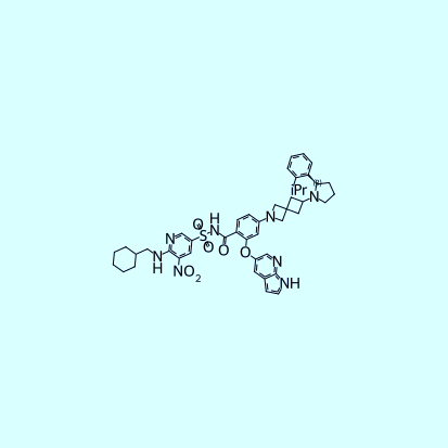 CC(C)c1ccccc1[C@H]1CCCN1C1CC2(C1)CN(c1ccc(C(=O)NS(=O)(=O)c3cnc(NCC4CCCCC4)c([N+](=O)[O-])c3)c(Oc3cnc4[nH]ccc4c3)c1)C2